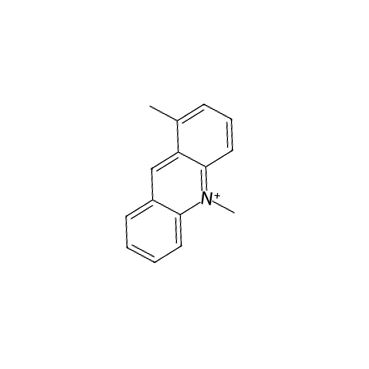 Cc1cccc2c1cc1ccccc1[n+]2C